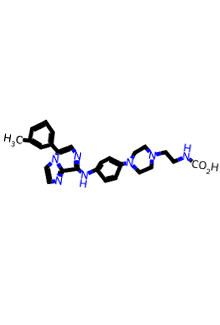 Cc1cccc(-c2cnc(Nc3ccc(N4CCN(CCNC(=O)O)CC4)cc3)c3nccn23)c1